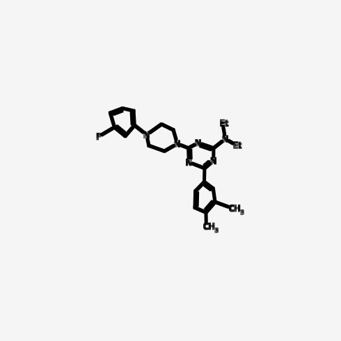 CCN(CC)c1nc(-c2ccc(C)c(C)c2)nc(N2CCN(c3cccc(F)c3)CC2)n1